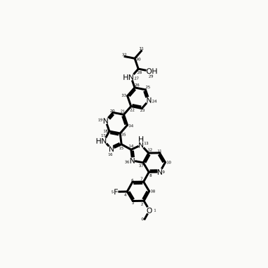 COc1cc(F)cc(-c2nccc3[nH]c(-c4n[nH]c5ncc(-c6cncc(NC(O)C(C)C)c6)cc45)nc23)c1